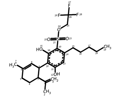 C=C(C)C1CCC(C)=CC1c1c(O)cc(CCCCC)c(S(=O)(=O)OCC(F)(F)F)c1O